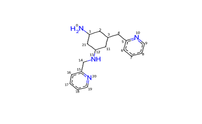 NC1CC(Cc2ccccn2)CC(NCc2ccccn2)C1